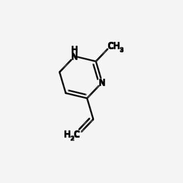 C=CC1=CCNC(C)=N1